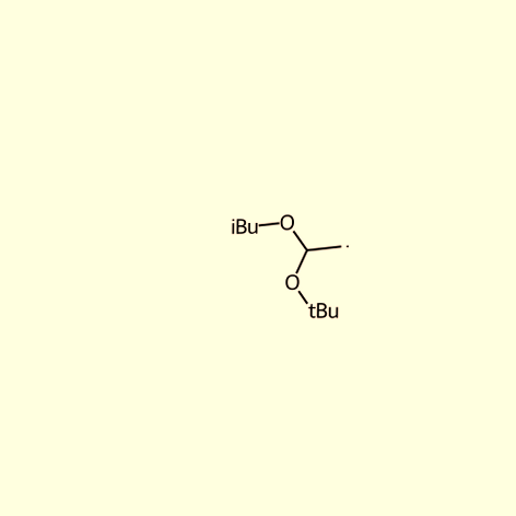 [CH2]C(OC(C)CC)OC(C)(C)C